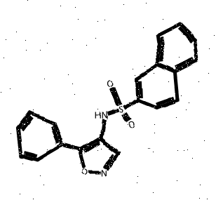 O=S(=O)(Nc1cnoc1-c1ccccc1)c1ccc2ccccc2c1